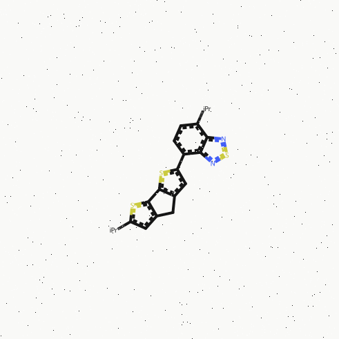 CC(C)c1cc2c(s1)-c1sc(-c3ccc(C(C)C)c4nsnc34)cc1C2